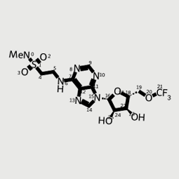 CNS(=O)(=O)CCNc1ncnc2c1ncn2[C@@H]1O[C@H](COC(F)(F)F)[C@@H](O)[C@H]1O